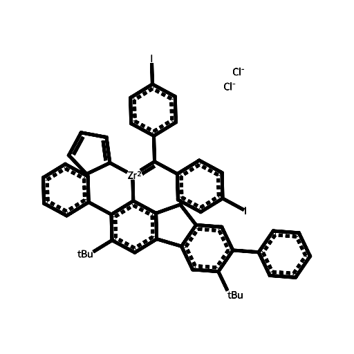 CC(C)(C)c1cc2c(cc1-c1ccccc1)Cc1c-2cc(C(C)(C)C)c(-c2ccccc2)[c]1[Zr+2]([C]1=CC=CC1)=[C](c1ccc(I)cc1)c1ccc(I)cc1.[Cl-].[Cl-]